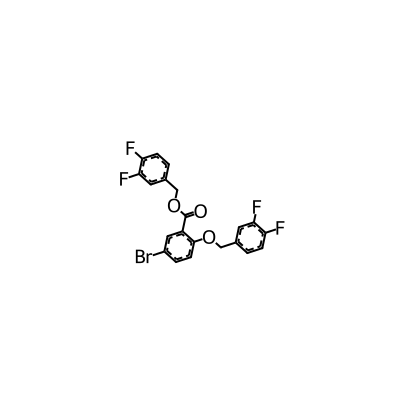 O=C(OCc1ccc(F)c(F)c1)c1cc(Br)ccc1OCc1ccc(F)c(F)c1